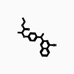 CCOC(=O)C(C)Oc1ccc(N(C)c2cc3ccccc3c(O)n2)cc1